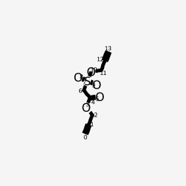 C#CCOC(=O)CS(=O)(=O)OCC#C